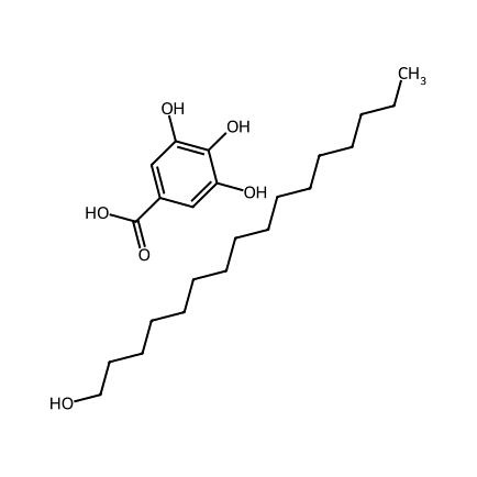 CCCCCCCCCCCCCCCCO.O=C(O)c1cc(O)c(O)c(O)c1